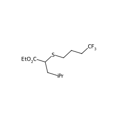 CCOC(=O)C(CC(C)C)SCCCC(F)(F)F